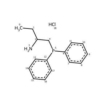 CCC(N)CP(c1ccccc1)c1ccccc1.Cl